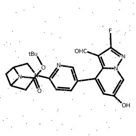 CC(C)(C)OC(=O)N1C2CC1CN(c1ccc(-c3cc(O)cn4nc(F)c(C=O)c34)cn1)C2